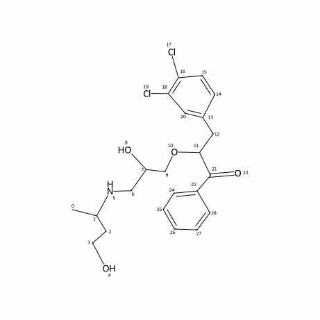 CC(CCO)NCC(O)COC(Cc1ccc(Cl)c(Cl)c1)C(=O)c1ccccc1